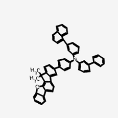 CC1(C)c2ccc(-c3ccc(N(c4cccc(-c5ccccc5)c4)c4cccc(-c5cccc6ccccc56)c4)cc3)cc2-c2ccc3c(oc4ccccc43)c21